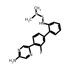 CN(C)SNc1ccccc1-c1ccc(-c2cnc(N)cn2)c(F)c1